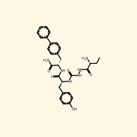 CC[C@H](N)C(=O)NNC(=O)N[C@@H](Cc1ccc(O)cc1)C(=O)N[C@@H](Cc1ccc(-c2ccccc2)cc1)C(N)=O